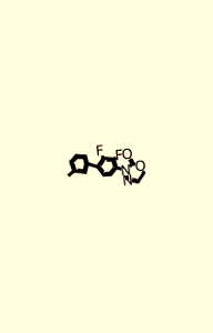 Cc1cccc(-c2ccc(N3N=CCOC3=O)c(F)c2F)c1